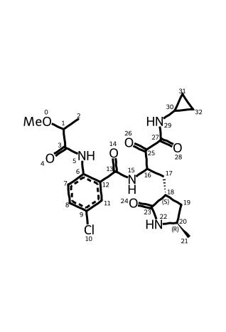 COC(C)C(=O)Nc1ccc(Cl)cc1C(=O)NC(C[C@@H]1C[C@@H](C)NC1=O)C(=O)C(=O)NC1CC1